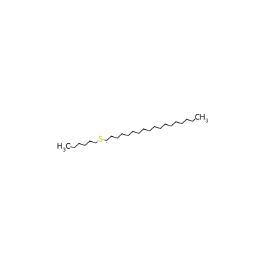 CCCCCCCCCCCCCCCCC[CH]SCCCCCC